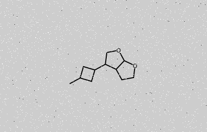 CC1CC(C2COC3OCCC32)C1